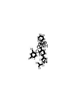 Cc1ccc(Oc2nc(-c3cnn(CC(C)C)c3)ccc2C(=O)NS(=O)(=O)c2ccccn2)c(C)c1